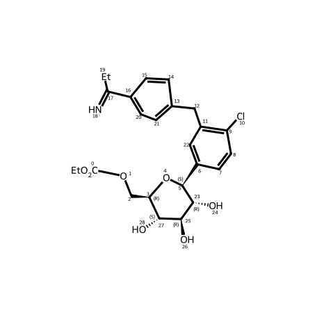 CCOC(=O)OC[C@H]1O[C@@H](c2ccc(Cl)c(Cc3ccc(C(=N)CC)cc3)c2)[C@H](O)[C@@H](O)[C@@H]1O